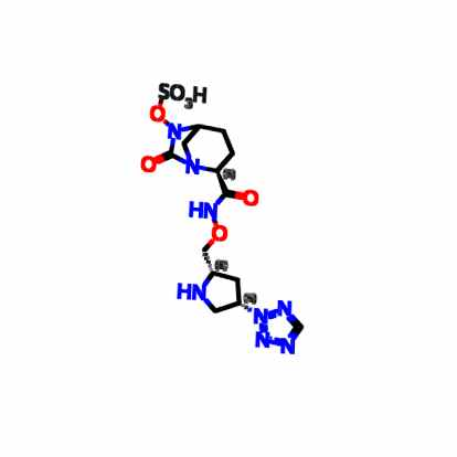 O=C(NOC[C@@H]1C[C@H](n2ncnn2)CN1)[C@@H]1CCC2CN1C(=O)N2OS(=O)(=O)O